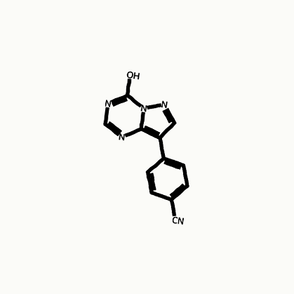 N#Cc1ccc(-c2cnn3c(O)ncnc23)cc1